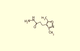 Cc1noc(C)c1CCC(=O)NN